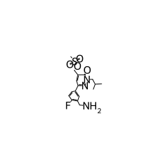 CC(C)Cn1nc(-c2ccc(F)c(CN)c2)cc(COS(C)(=O)=O)c1=O